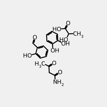 CC(=O)CC(N)=O.CC(O)C(=O)O.O=Cc1ccccc1O.Oc1ccccc1O